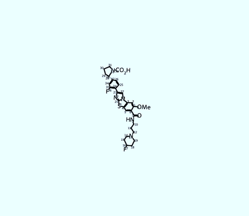 COc1cc2c(cc1C(=O)NCCCN1CCC(F)CC1)sc1nc(-c3ccc([C@@H]4CCCN4C(=O)O)cc3F)cn12